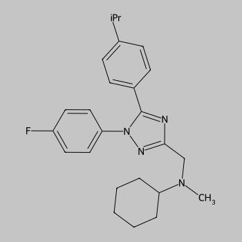 CC(C)c1ccc(-c2nc(CN(C)C3CCCCC3)nn2-c2ccc(F)cc2)cc1